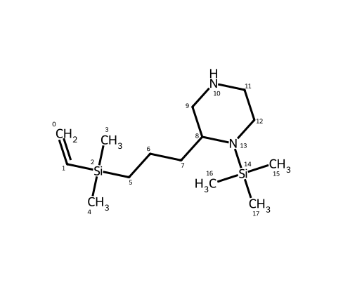 C=C[Si](C)(C)CCCC1CNCCN1[Si](C)(C)C